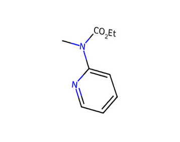 CCOC(=O)N(C)c1ccccn1